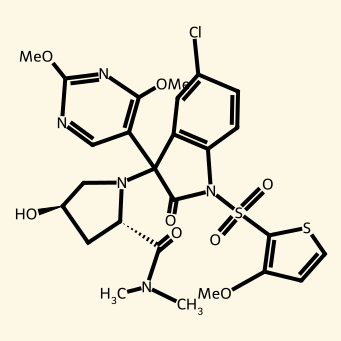 COc1ncc(C2(N3C[C@H](O)C[C@H]3C(=O)N(C)C)C(=O)N(S(=O)(=O)c3sccc3OC)c3ccc(Cl)cc32)c(OC)n1